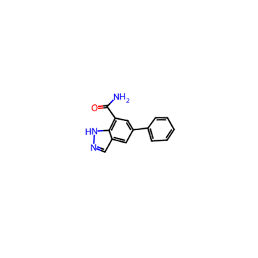 NC(=O)c1cc(-c2ccccc2)cc2cn[nH]c12